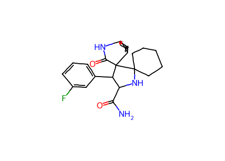 NC(=O)C1NC2(CCCCC2)C2(C(=O)Nc3ccccc32)C1c1cccc(F)c1